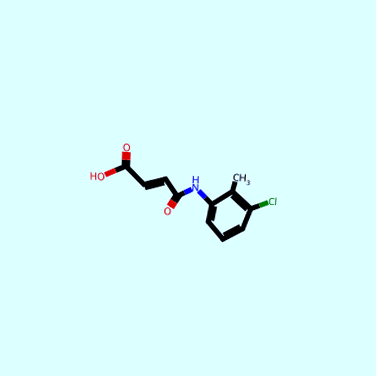 Cc1c(Cl)cccc1NC(=O)C=CC(=O)O